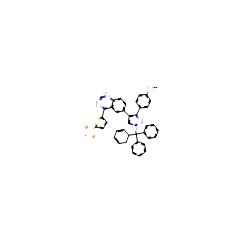 COc1ccc(-c2nn(C(c3ccccc3)(c3ccccc3)C3C=CC=CC3)cc2-c2ccc3ncnc(-c4ccc(S(C)(=O)=O)s4)c3c2)cc1